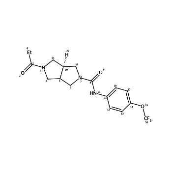 CCC(=O)N1CC2CN(C(=O)Nc3ccc(OC(F)(F)F)cc3)C[C@@H]2C1